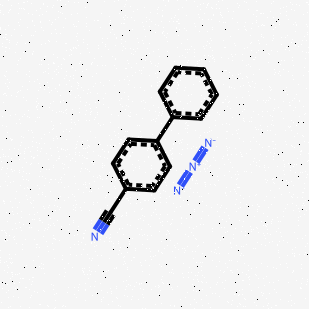 N#Cc1ccc(-c2ccccc2)cc1.[N-]=[N+]=[N-]